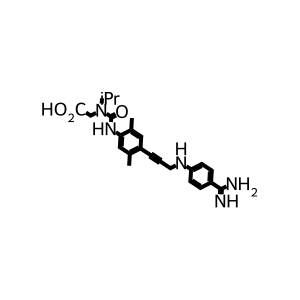 Cc1cc(NC(=O)N(CC(=O)O)C(C)C)c(C)cc1C#CCNc1ccc(C(=N)N)cc1